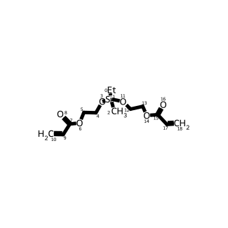 [CH2]C[Si](C)(OCCOC(=O)C=C)OCCOC(=O)C=C